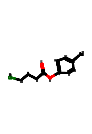 CC(=O)c1ccc(OC(=O)CCCCl)cc1